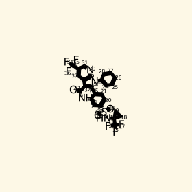 NC(=O)c1c(-c2ccc(S(=O)(=O)NC3(C(F)(F)F)CC3)cc2)n(-c2ccccc2)c2ncc(C(F)(F)F)cc12